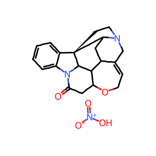 O=C1CC2OCC=C3CN4CC[C@]56c7ccccc7N1C5C2C3CC46.O=[N+]([O-])O